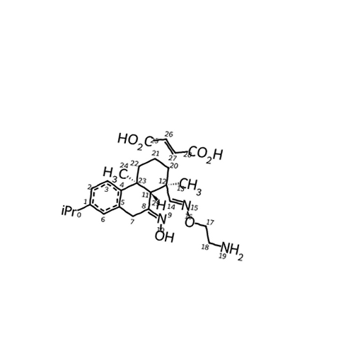 CC(C)c1ccc2c(c1)C/C(=N\O)[C@H]1[C@](C)(/C=N/OCCN)CCC[C@]21C.O=C(O)/C=C/C(=O)O